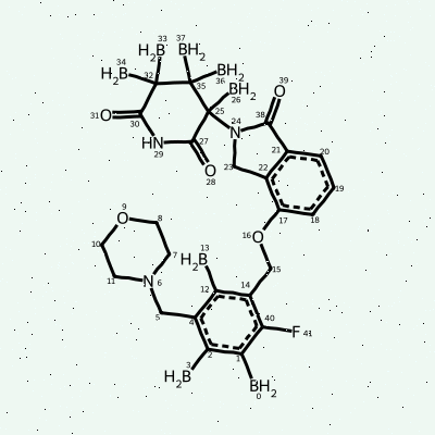 Bc1c(B)c(CN2CCOCC2)c(B)c(COc2cccc3c2CN(C2(B)C(=O)NC(=O)C(B)(B)C2(B)B)C3=O)c1F